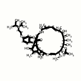 CO[C@H]1/C=C/O[C@@]2(C)Oc3c(C)c(O)c4c(=O)c(c5oc6cc(OCCN(C(C)C)C(C)C)ccc6nc-5c4c3C2=O)NC(=O)/C(C)=C\C=C\[C@H](C)[C@H](O)[C@@H](C)[C@@H](C)[C@@H](C)[C@H](OC(C)=O)[C@@H]1C